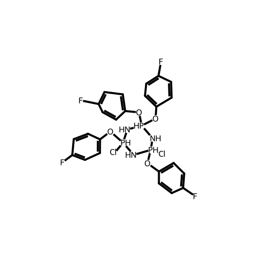 Fc1ccc(O[PH]2(Cl)N[PH](Cl)(Oc3ccc(F)cc3)N[PH](Oc3ccc(F)cc3)(Oc3ccc(F)cc3)N2)cc1